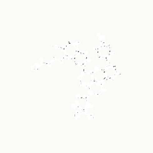 CCN(C(=O)[C@H]1CN(C(=O)OC(C)(C)C)CC[C@@H]1c1cccc(-c2ccc(O)cc2)c1)c1ccc2c(c1)N(CCCOC)C(=O)CO2